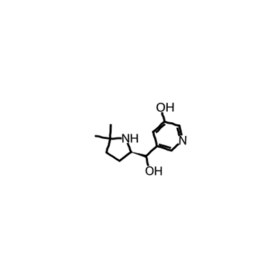 CC1(C)CC[C@H](C(O)c2cncc(O)c2)N1